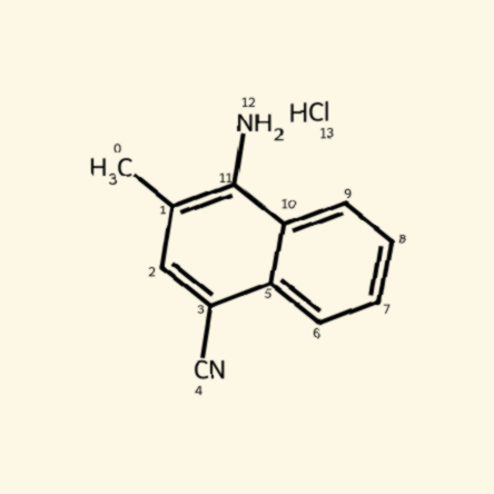 Cc1cc(C#N)c2ccccc2c1N.Cl